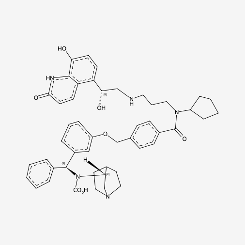 O=C(c1ccc(COc2cccc([C@H](c3ccccc3)N(C(=O)O)[C@H]3CN4CCC3CC4)c2)cc1)N(CCCNC[C@H](O)c1ccc(O)c2[nH]c(=O)ccc12)C1CCCC1